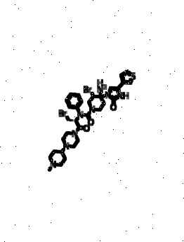 CN1CCC(N2CCN(C(=O)[C@H](CBr)N(C(=O)N3CCC(N)(n4cc(-c5ccsc5)[nH]c4=O)C(Br)C3)c3ccccc3)CC2)CC1